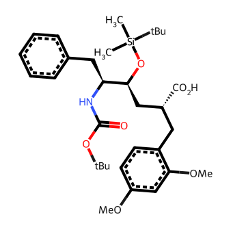 COc1ccc(C[C@H](C[C@H](O[Si](C)(C)C(C)(C)C)[C@H](Cc2ccccc2)NC(=O)OC(C)(C)C)C(=O)O)c(OC)c1